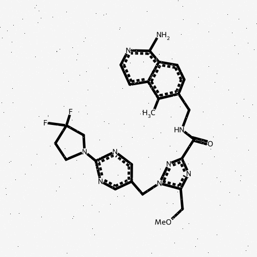 COCc1nc(C(=O)NCc2ccc3c(N)nccc3c2C)nn1Cc1cnc(N2CCC(F)(F)C2)nc1